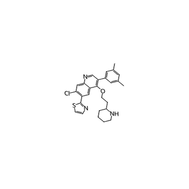 Cc1cc(C)cc(-c2cnc3cc(Cl)c(-c4nccs4)cc3c2OCCC2CCCCN2)c1